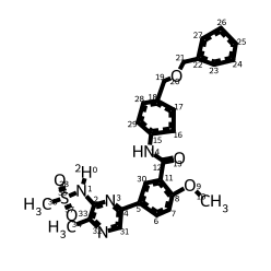 [2H]N(c1nc(-c2ccc(OC)c(C(=O)Nc3ccc(COCc4ccccc4)cc3)c2)cnc1C)S(C)(=O)=O